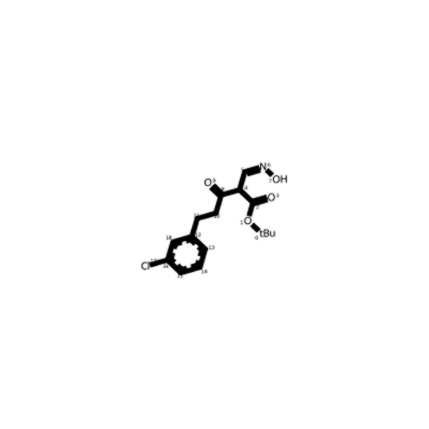 CC(C)(C)OC(=O)C(/C=N\O)C(=O)CCc1cccc(Cl)c1